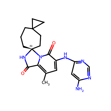 Cc1cc(Nc2cc(N)ncn2)c(=O)n2c1C(=O)N[C@@]21CCCC2(CC2)CC1